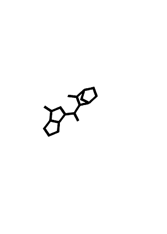 CC1CC(C(C)C2C3CCC(C3)C2C)C2CCCC12